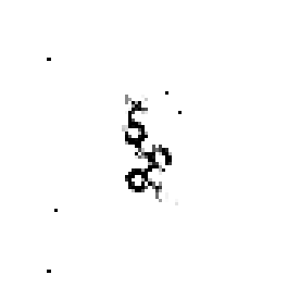 COc1ccccc1-c1nccnc1Oc1ccc(CC(F)(F)F)nc1